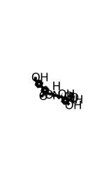 COc1cc(-c2ccc(CO)cc2)ccc1OCCNC[C@H](O)c1ccc(O)c(NS(C)(=O)=O)c1